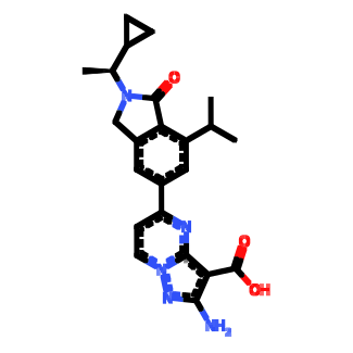 CC(C)c1cc(-c2ccn3nc(N)c(C(=O)O)c3n2)cc2c1C(=O)N([C@@H](C)C1CC1)C2